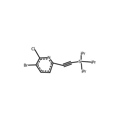 CC(C)[Si](C#Cc1ccc(Br)c(Cl)n1)(C(C)C)C(C)C